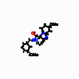 COc1cccc(CNC(=O)c2c(C)nc3cc(OC)ccn23)c1